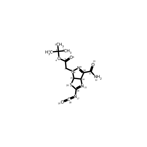 CC(C)(C)OC(=O)CN1N=C(C(N)=O)C2N=C(N=C=O)SC21